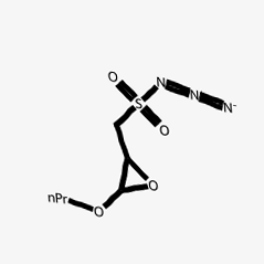 CCCOC1OC1CS(=O)(=O)N=[N+]=[N-]